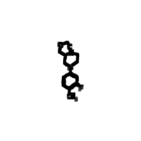 Cc1ccc(N2CCN3CCOCC3C2)cc1F